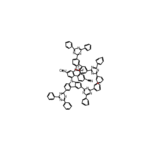 [C-]#[N+]c1cc(-n2c3ccc(-c4nc(-c5ccccc5)nc(-c5ccccc5)n4)cc3c3cc(-c4nc(-c5ccccc5)nc(-c5ccccc5)n4)ccc32)c(-c2ccc(C#N)cc2C(F)(F)F)c(-n2c3ccc(-c4nc(-c5ccccc5)nc(-c5ccccc5)n4)cc3c3cc(-c4nc(-c5ccccc5)nc(-c5ccccc5)n4)ccc32)c1